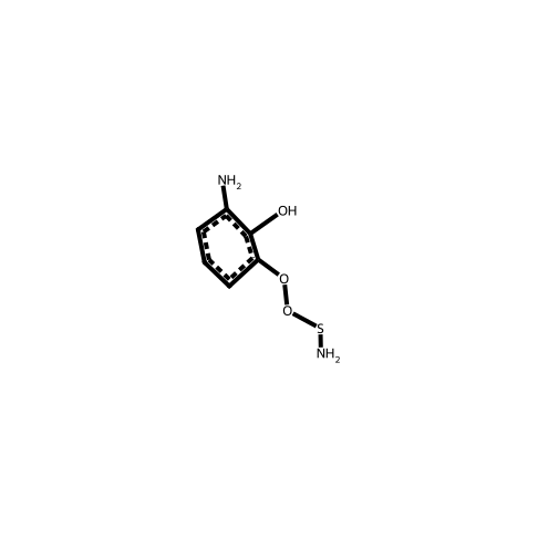 NSOOc1cccc(N)c1O